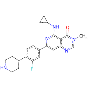 Cn1cnc2cc(-c3ccc(C4CCNCC4)c(F)c3)nc(NC3CC3)c2c1=O